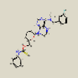 CN(Cc1cccc(F)c1)c1ncnc2c1N=CCN2C1CCCC(COC(=S)Nc2ccccc2)O1